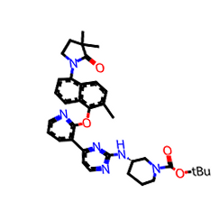 Cc1ccc2c(N3CCC(C)(C)C3=O)cccc2c1Oc1ncccc1-c1ccnc(N[C@H]2CCCN(C(=O)OC(C)(C)C)C2)n1